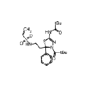 C=CS(=O)(=O)NCCC1(c2ccccc2)SC(NC(=O)C(C)(C)C)=NN1C(=O)C(C)(C)C